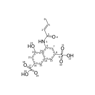 CC=CC(=O)Nc1cc(S(=O)(=O)O)cc2cc(S(=O)(=O)O)cc(O)c12